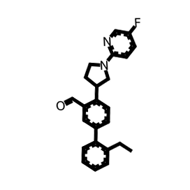 CCc1ccccc1-c1ccc(C2CCN(c3ccc(F)cn3)C2)c(C=O)c1